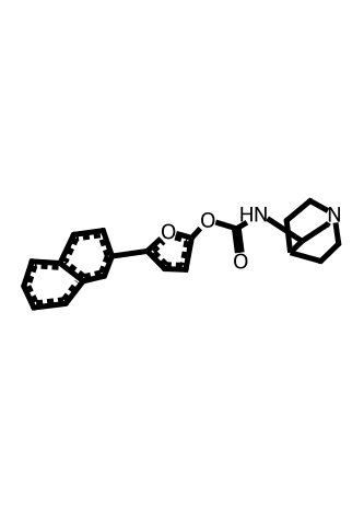 O=C(NC1CN2CCC1CC2)Oc1ccc(-c2ccc3ccccc3c2)o1